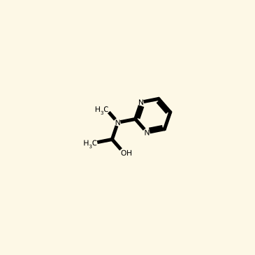 CC(O)N(C)c1ncccn1